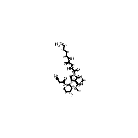 C[C@@H]1CCN(C(=O)CC#N)C[C@@H]1N(C)c1ncnc2c1ccn2C(=O)NCC(=O)NCCCCN